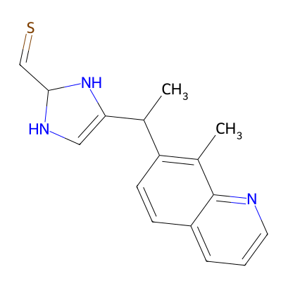 Cc1c(C(C)C2=CNC(C=S)N2)ccc2cccnc12